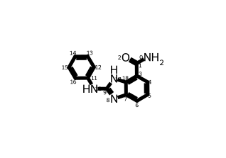 NC(=O)c1cccc2nc(Nc3ccccc3)[nH]c12